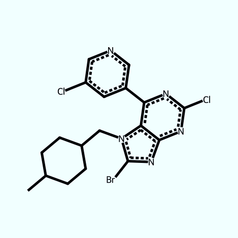 CC1CCC(Cn2c(Br)nc3nc(Cl)nc(-c4cncc(Cl)c4)c32)CC1